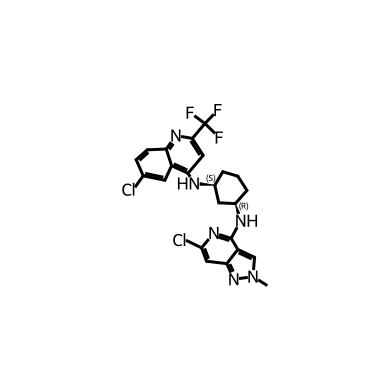 Cn1cc2c(N[C@@H]3CCC[C@H](Nc4cc(C(F)(F)F)nc5ccc(Cl)cc45)C3)nc(Cl)cc2n1